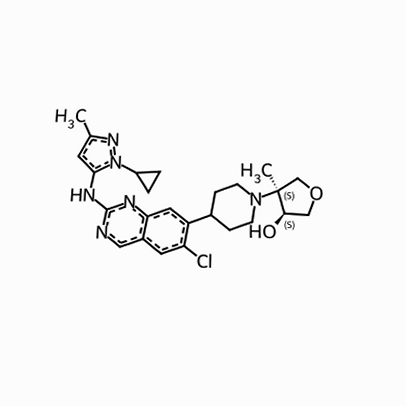 Cc1cc(Nc2ncc3cc(Cl)c(C4CCN([C@@]5(C)COC[C@H]5O)CC4)cc3n2)n(C2CC2)n1